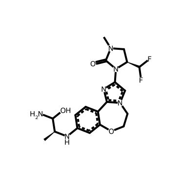 C[C@H](Nc1ccc2c(c1)OCCn1cc(N3C(=O)N(C)C[C@H]3C(F)F)nc1-2)C(N)O